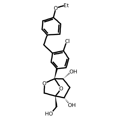 CCOc1ccc(Cc2cc([C@]34OC[C@](CO)(O3)[C@@H](O)C[C@H]4O)ccc2Cl)cc1